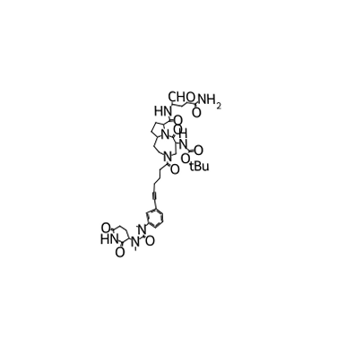 CN(C(=O)N(C)C1CCC(=O)NC1=O)c1cccc(C#CCCCC(=O)N2CCC3CCC(C(=O)NC(C=O)CCC(N)=O)N3C(=O)C(NC(=O)OC(C)(C)C)C2)c1